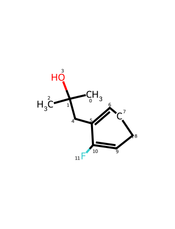 CC(C)(O)CC1=CC[CH]C=C1F